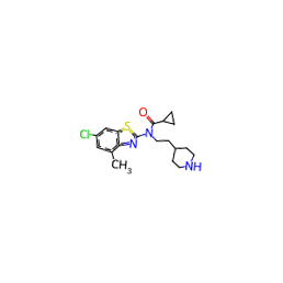 Cc1cc(Cl)cc2sc(N(CCC3CCNCC3)C(=O)C3CC3)nc12